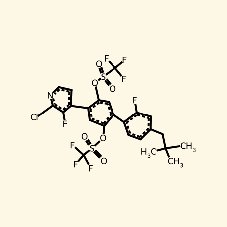 CC(C)(C)Cc1ccc(-c2cc(OS(=O)(=O)C(F)(F)F)c(-c3ccnc(Cl)c3F)cc2OS(=O)(=O)C(F)(F)F)c(F)c1